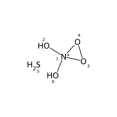 O[N+]1(O)OO1.S